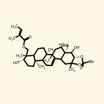 C/C=C(\C)C(=O)OC[C@]1(C)C2CC[C@]3(C)C(CC=C4C5CC(C)(C)[C@@H](OC(=O)C(C)CC)[C@H](O)[C@]5(CO)[C@H](O)C[C@]43C)[C@@]2(C)CC[C@@H]1O